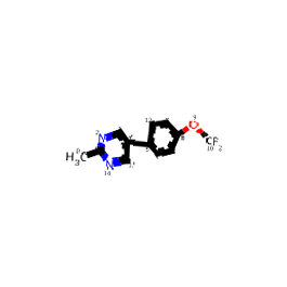 Cc1ncc(-c2ccc(OC(F)(F)F)cc2)cn1